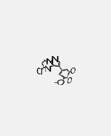 COc1cc(-c2cnn3ccc(Cl)nc23)cc(OC)c1OC